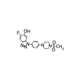 CS(=O)(=O)N1CCN(c2ccc(-n3nnc4cc(F)c(O)cc43)cc2)CC1